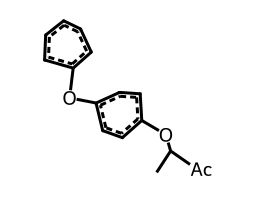 CC(=O)C(C)Oc1ccc(Oc2ccccc2)cc1